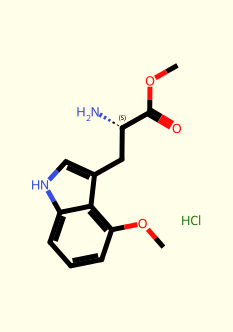 COC(=O)[C@@H](N)Cc1c[nH]c2cccc(OC)c12.Cl